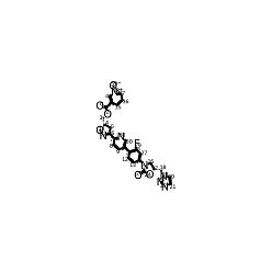 O=C(OC[C@@H]1CC(c2ccc(-c3ccc(N4C[C@H](Cn5ccnn5)OC4=O)cc3F)cn2)=NO1)c1ccc[n+]([O-])c1